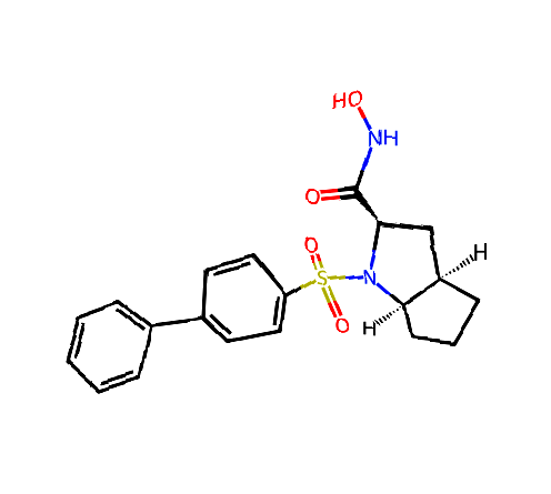 O=C(NO)[C@H]1C[C@H]2CCC[C@H]2N1S(=O)(=O)c1ccc(-c2ccccc2)cc1